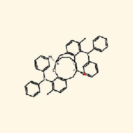 Cc1ccc2c(c1P(c1ccccc1)c1ccccc1)O[C@@H]1CCC[C@H](C2)Oc2c(ccc(C)c2P(c2ccccc2)c2ccccc2)C1